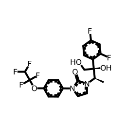 C[C@@H](n1ccn(-c2ccc(OC(F)(F)C(F)F)cc2)c1=O)[C@](O)(CO)c1ccc(F)cc1F